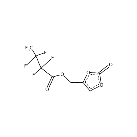 O=C(OCc1coc(=O)o1)C(F)(F)C(F)(F)C(F)(F)F